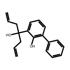 C=CCC(O)(CC=C)c1cccc(-c2ccccc2)c1O